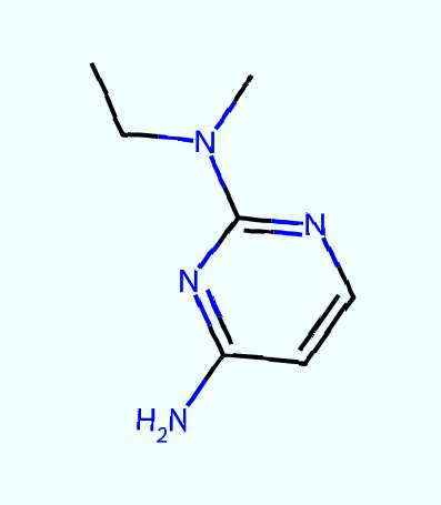 CCN(C)c1nccc(N)n1